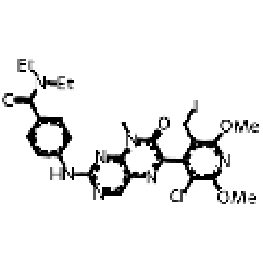 CCN(CC)C(=O)c1ccc(Nc2ncc3nc(-c4c(Cl)c(OC)nc(OC)c4CI)c(=O)n(C)c3n2)cc1